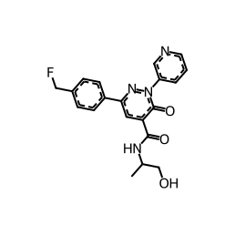 CC(CO)NC(=O)c1cc(-c2ccc(CF)cc2)nn(-c2cccnc2)c1=O